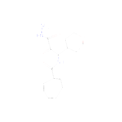 NNC(=O)C(=O)C(NC(=O)C1CCCCCC1)C1CCOCC1